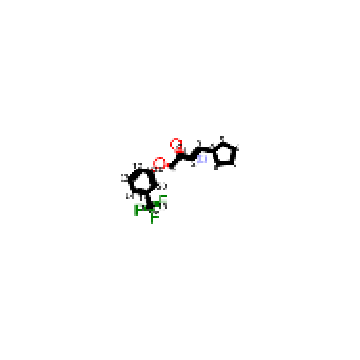 O=C(/C=C/C1CCCC1)COc1cccc(C(F)(F)F)c1